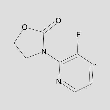 O=C1OCCN1c1ncc[c]c1F